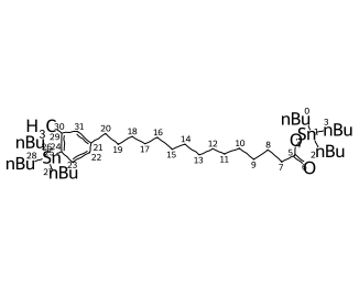 CCC[CH2][Sn]([CH2]CCC)([CH2]CCC)[O]C(=O)CCCCCCCCCCCCCCc1cc[c]([Sn]([CH2]CCC)([CH2]CCC)[CH2]CCC)c(C)c1